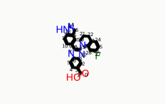 O=C(O)c1ccc2nc(-c3ccc4[nH]ncc4c3)c(N3CCCc4ccc(F)cc43)nc2c1